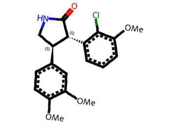 COc1ccc([C@H]2CNC(=O)[C@@H]2c2cccc(OC)c2Cl)cc1OC